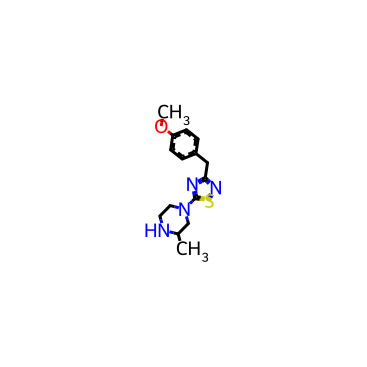 COc1ccc(Cc2nsc(N3CCNC(C)C3)n2)cc1